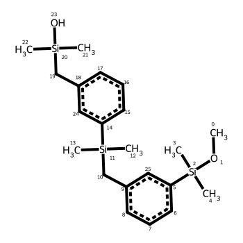 CO[Si](C)(C)c1cccc(C[Si](C)(C)c2cccc(C[Si](C)(C)O)c2)c1